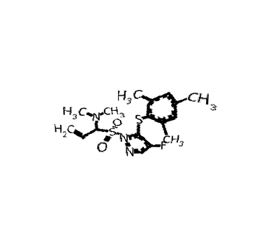 C=CC(N(C)C)S(=O)(=O)n1ncc(F)c1Sc1c(C)cc(C)cc1C